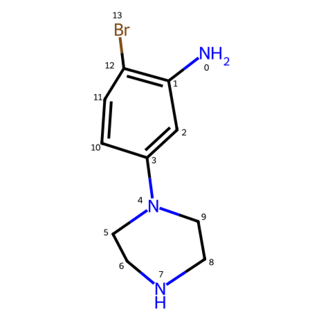 Nc1cc(N2CCNCC2)ccc1Br